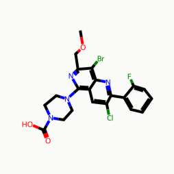 COCc1nc(N2CCN(C(=O)O)CC2)c2cc(Cl)c(-c3ccccc3F)nc2c1Br